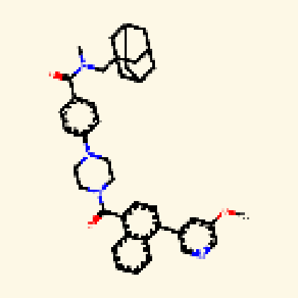 CCOc1cncc(-c2ccc(C(=O)N3CCN(c4ccc(C(=O)N(C)CC56CC7CC(CC(C7)C5)C6)cc4)CC3)c3ccccc23)c1